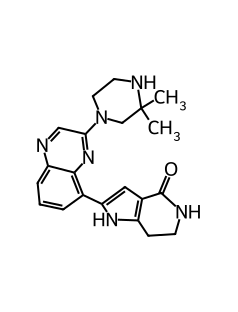 CC1(C)CN(c2cnc3cccc(-c4cc5c([nH]4)CCNC5=O)c3n2)CCN1